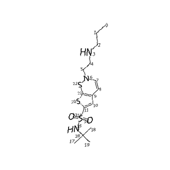 CCCNCCN1C=Cc2cc(S(=O)(=O)NC(C)(C)C)sc2S1